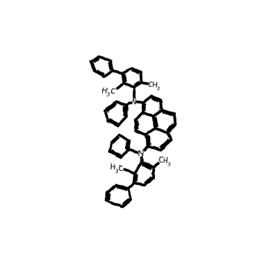 Cc1ccc(-c2ccccc2)c(C)c1N(c1ccccc1)c1ccc2ccc3ccc(N(c4ccccc4)c4c(C)ccc(-c5ccccc5)c4C)c4ccc1c2c34